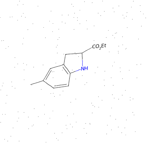 CCOC(=O)C1Cc2cc(C)ccc2N1